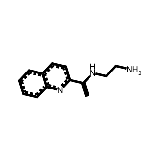 C=C(NCCN)c1ccc2ccccc2n1